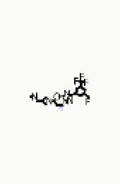 CN(C)CC1CN(C(=O)/C=C\n2cnc(-c3cc(CF)cc(C(F)(F)F)c3)n2)C1